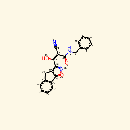 N#CC(C(=O)NCc1ccccc1)=C(O)c1noc2c1Cc1ccccc1-2